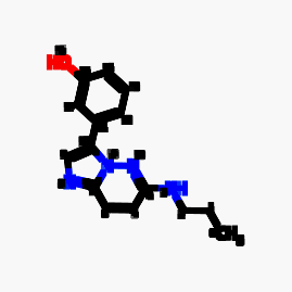 CCCNc1ccc2ncc(-c3cccc(O)c3)n2n1